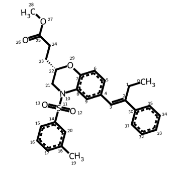 CC/C(=C\c1ccc2c(c1)N(S(=O)(=O)c1cccc(C)c1)C[C@H](CCC(=O)OC)O2)c1ccccc1